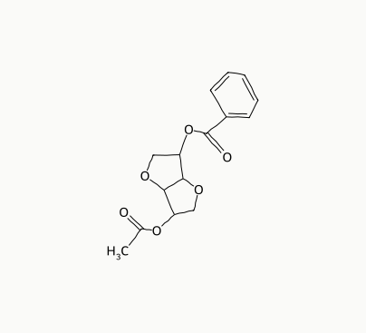 CC(=O)OC1COC2C(OC(=O)c3ccccc3)COC12